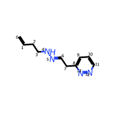 C=CCCN/N=C/Cc1cccnn1